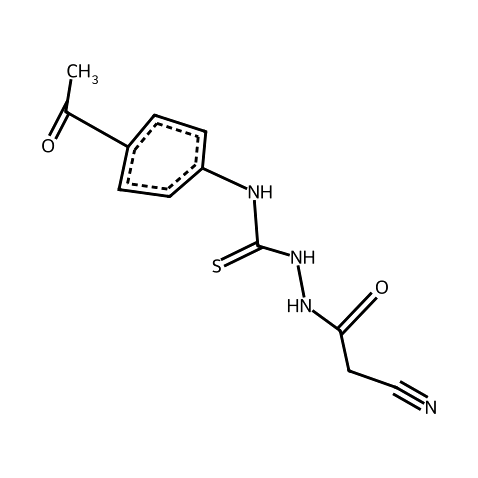 CC(=O)c1ccc(NC(=S)NNC(=O)CC#N)cc1